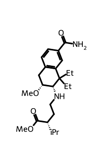 CCC1(CC)c2cc(C(N)=O)ccc2C[C@@H](OC)[C@H]1NCC[C@@H](C(=O)OC)C(C)C